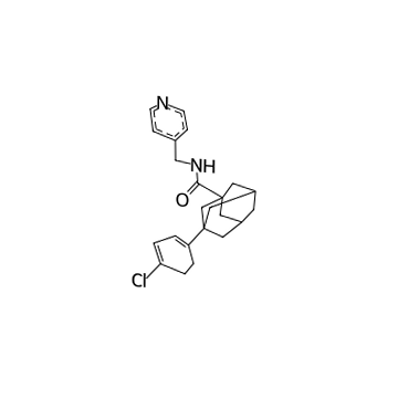 O=C(NCc1ccncc1)C12CC3CC(C1)CC(C1=CC=C(Cl)CC1)(C3)C2